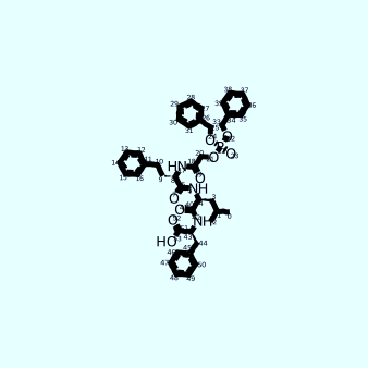 CC(C)C[C@H](NC(=O)[C@H](CCc1ccccc1)NC(=O)COP(=O)(OCc1ccccc1)OCc1ccccc1)C(=O)N[C@@H](Cc1ccccc1)C(=O)O